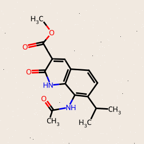 COC(=O)c1cc2ccc(C(C)C)c(NC(C)=O)c2[nH]c1=O